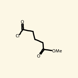 COC(=O)CCCC(=O)Cl